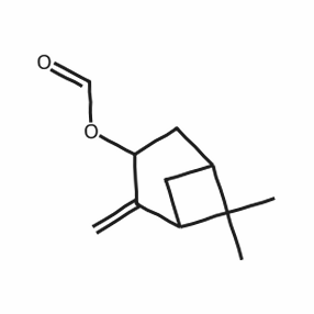 C=C1C(OC=O)CC2CC1C2(C)C